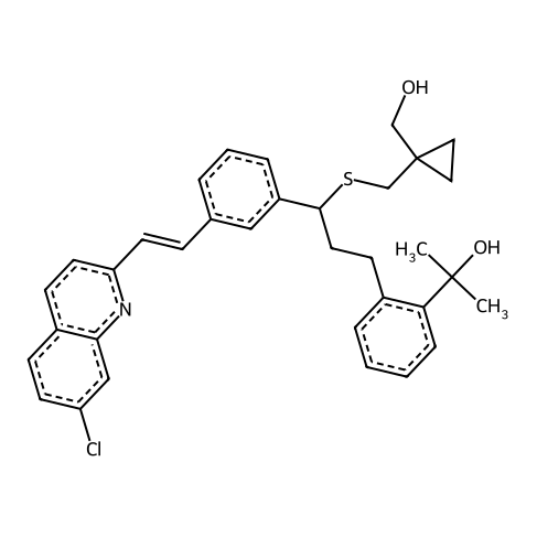 CC(C)(O)c1ccccc1CCC(SCC1(CO)CC1)c1cccc(C=Cc2ccc3ccc(Cl)cc3n2)c1